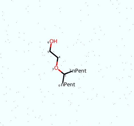 CCCCCC(CCCCC)OCCO